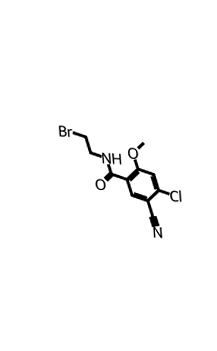 COc1cc(Cl)c(C#N)cc1C(=O)NCCBr